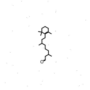 CC1=C(CCC(C)CCCC(C)CC=O)C(C)(C)CCC1